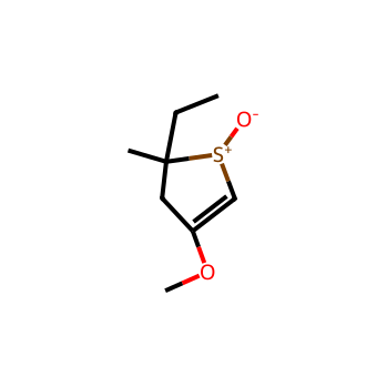 CCC1(C)CC(OC)=C[S+]1[O-]